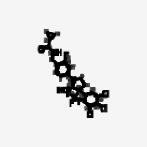 O=C(NCc1ccc(N2CC[C@@](c3cc(Cl)c(Cl)c(Cl)c3)(C(F)(F)F)C2O)cc1F)C1CC1